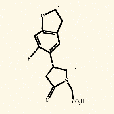 O=C(O)CN1CC(c2cc3c(cc2F)OCC3)CC1=O